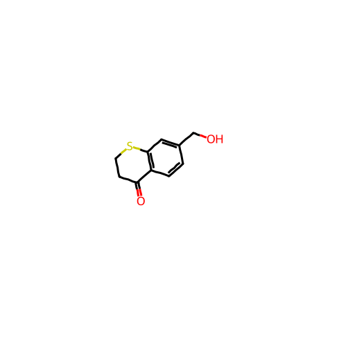 O=C1CCSc2cc(CO)ccc21